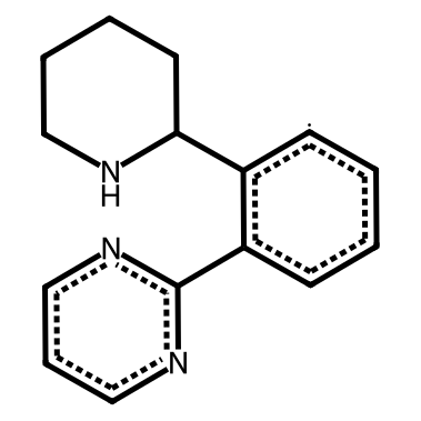 [c]1cccc(-c2ncccn2)c1C1CCCCN1